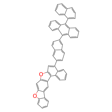 c1ccc2c(-c3c4ccccc4c(-c4ccc5cc(-c6cc7oc8cc9oc%10ccccc%10c9cc8c7c7ccccc67)ccc5c4)c4ccccc34)cccc2c1